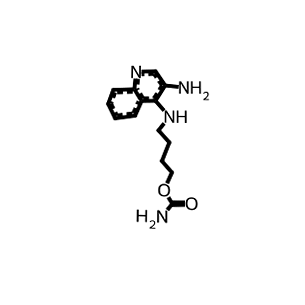 NC(=O)OCCCCNc1c(N)cnc2ccccc12